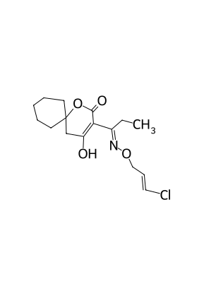 CC/C(=N\OC/C=C/Cl)C1=C(O)CC2(CCCCC2)OC1=O